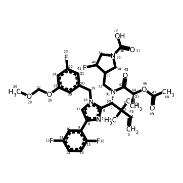 C=CC(C)(C)[C@H](c1nc(-c2cc(F)ccc2F)cn1Cc1cc(F)cc(OCOC)c1)N(CC1CN(C(=O)O)CC1F)C(=O)[C@H](C)OC(C)=O